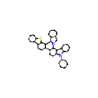 c1ccc(-n2c3ccccc3c3c2ccc2c4ccc5c6ccccc6sc5c4c4c5ccccc5cn4c23)cc1